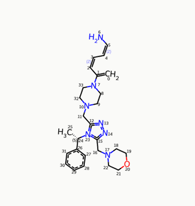 C=C(/C=C\C=C/N)N1CCN(Cc2nnc(CN3CCOCC3)n2[C@@H](C)c2ccccc2)CC1